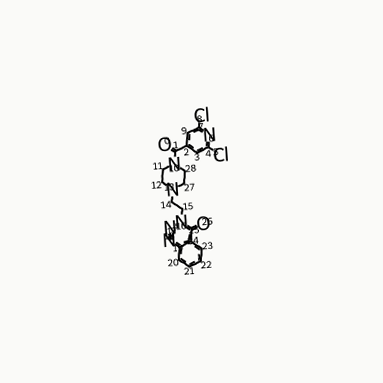 O=C(c1cc(Cl)nc(Cl)c1)N1CCN(CCn2nnc3ccccc3c2=O)CC1